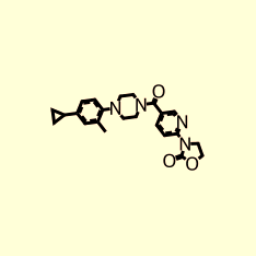 Cc1cc(C2CC2)ccc1N1CCN(C(=O)c2ccc(N3CCOC3=O)nc2)CC1